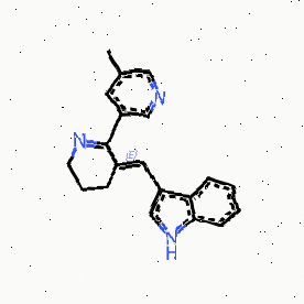 Cc1cncc(C2=NCCC/C2=C\c2c[nH]c3ccccc23)c1